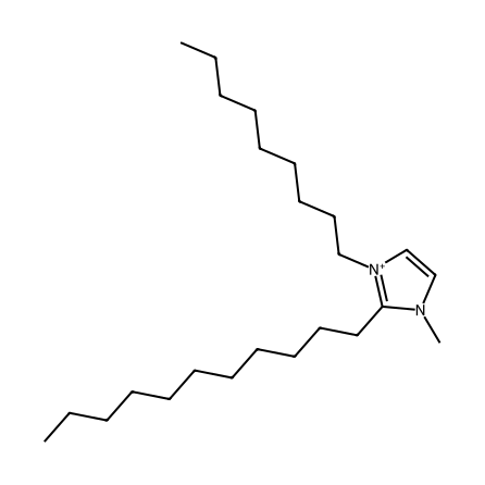 CCCCCCCCCCCc1n(C)cc[n+]1CCCCCCCCC